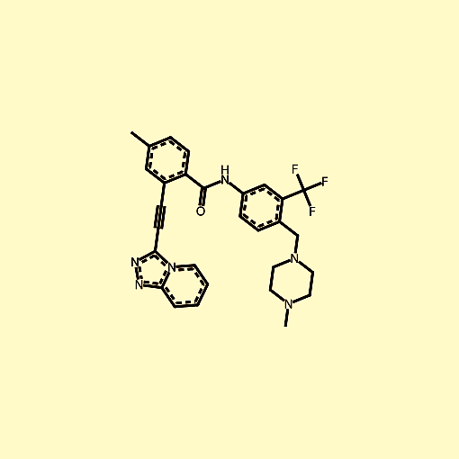 Cc1ccc(C(=O)Nc2ccc(CN3CCN(C)CC3)c(C(F)(F)F)c2)c(C#Cc2nnc3ccccn23)c1